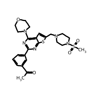 CC(=O)c1cccc(-c2nc(N3CCOCC3)c3cc(CN4CCN(S(C)(=O)=O)CC4)sc3n2)c1